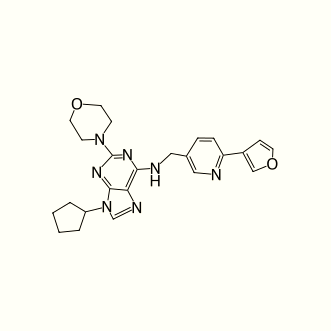 c1cc(-c2ccc(CNc3nc(N4CCOCC4)nc4c3ncn4C3CCCC3)cn2)co1